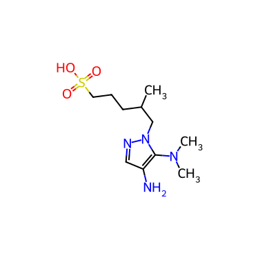 CC(CCCS(=O)(=O)O)Cn1ncc(N)c1N(C)C